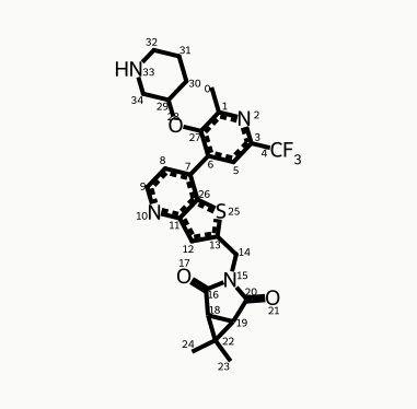 Cc1nc(C(F)(F)F)cc(-c2ccnc3cc(CN4C(=O)C5C(C4=O)C5(C)C)sc23)c1OC1CCCNC1